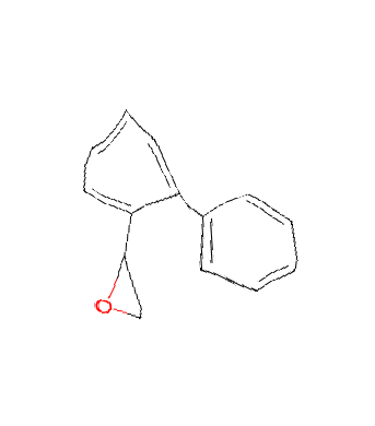 c1ccc(-c2ccccc2C2CO2)cc1